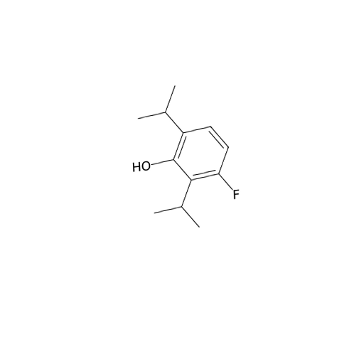 CC(C)c1ccc(F)c(C(C)C)c1O